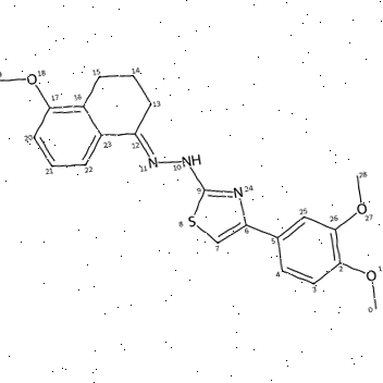 COc1ccc(-c2csc(NN=C3CCCc4c(OC)cccc43)n2)cc1OC